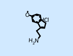 COc1ccc2c(c1)C(CCN)=CC2.Cl